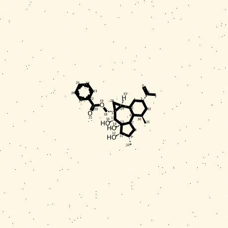 C=C(C)[C@H]1CC2C(C3C[C@H](C)[C@H](O)[C@@]3(O)[C@H](O)[C@@]3(COC(=O)c4ccccc4)C[C@@H]23)[C@H](C)C1